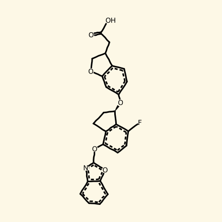 O=C(O)CC1COc2cc(O[C@@H]3CCc4c(Oc5nc6ccccc6o5)ccc(F)c43)ccc21